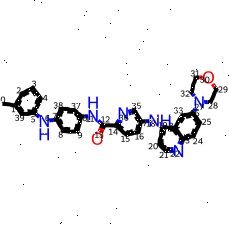 Cc1cccc(Nc2ccc(NC(=O)c3ccc(Nc4ccnc5ccc(N6CCOCC6)cc45)cn3)cc2)c1